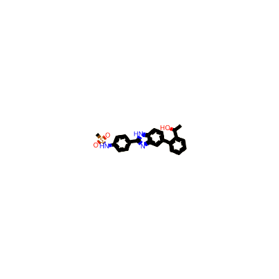 CC(O)c1ccccc1-c1ccc2[nH]c(-c3ccc(NS(C)(=O)=O)cc3)nc2c1